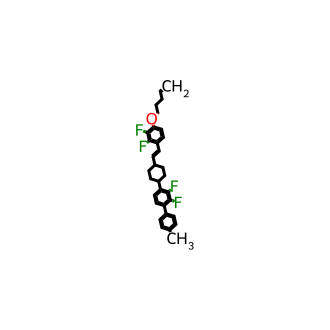 C=CCCCOc1ccc(/C=C/C2CCC(c3ccc(-c4ccc(C)cc4)c(F)c3F)CC2)c(F)c1F